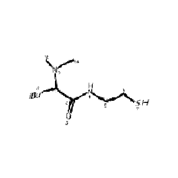 CCC(C)C(C(=O)NCCS)N(C)C